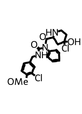 COc1ccc(CNC(=O)N(C(=O)C2CC(O)(Cl)CCN2)c2ccccc2)cc1Cl